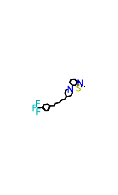 FC(F)(F)c1ccc(CCCCCC2CCN(c3cccc4n[c]sc34)CC2)cc1